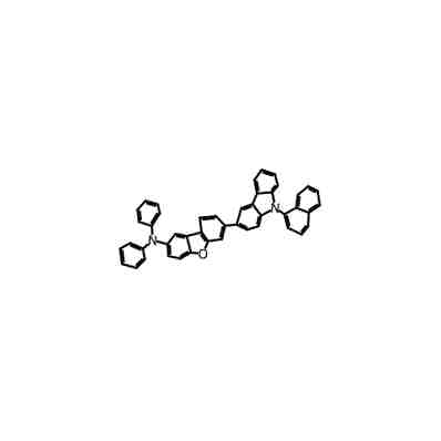 c1ccc(N(c2ccccc2)c2ccc3oc4cc(-c5ccc6c(c5)c5ccccc5n6-c5cccc6ccccc56)ccc4c3c2)cc1